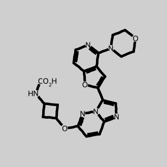 O=C(O)NC1CC(Oc2ccc3ncc(-c4cc5c(N6CCOCC6)nccc5o4)n3n2)C1